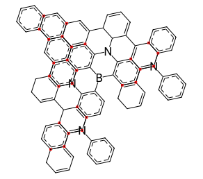 C1=CCCC(C2=CC=CC(C3=CCCC(c4cccc(-c5ccccc5)c4)=C3N3c4cc(N(c5ccccc5)c5ccccc5)ccc4B4c5ccc(N(c6ccccc6)c6ccccc6)cc5N(C5C(C6=CC(C7=CCCC=C7)=CCC6)=CC=CC5C5=CCCC(c6ccccc6)=C5)c5cc(-c6ccccc6)cc3c54)C2)=C1